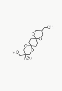 CCCCC1(CO)COC2(CCC3(CC2)OCC(CO)CO3)OC1